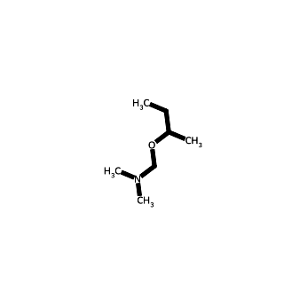 CCC(C)OCN(C)C